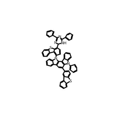 c1ccc(C2=NC(c3ccc(-n4c5ccccc5c5cc(-c6ccc7sc8ccccc8c7c6)c6c(c7ccccc7n6-c6ccccc6)c54)c4c3sc3ccccc34)NC(c3ccccc3)=N2)cc1